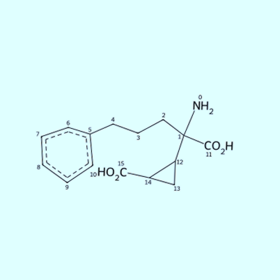 NC(CCCc1ccccc1)(C(=O)O)C1CC1C(=O)O